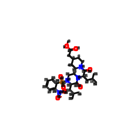 COC(=O)CC1CCN(C(=O)C(CC(C)C)N2CCN(S(=O)(=O)c3ccccc3[N+](=O)[O-])C(CC(C)C)C2=O)CC1